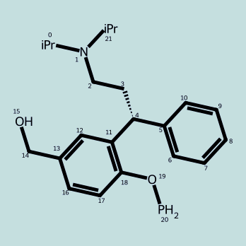 CC(C)N(CC[C@H](c1ccccc1)c1cc(CO)ccc1OP)C(C)C